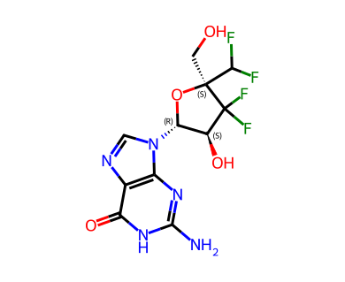 Nc1nc2c(ncn2[C@@H]2O[C@@](CO)(C(F)F)C(F)(F)[C@H]2O)c(=O)[nH]1